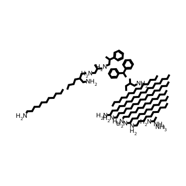 CC(C)CN.CC(CN)c1ccccc1.CC(c1ccccc1)c1ccccc1.CCC(C)CN.CCCCC(CC)CN.CCCCCCCCCCCCCC.CCCCCCCCCCCCCCCCCCN.CCCCCCCCCCCCCCCCN.CCCCCCCCCCCCCN.CCCCCCCCCCCCN.CCCCCCCCCCCN.CCCCCCCCCCN.CCN.N.N